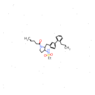 C=CCCC(=O)N1CCC(NS(=O)(=O)CC)C1Cc1cccc(-c2ccccc2CC=C)c1